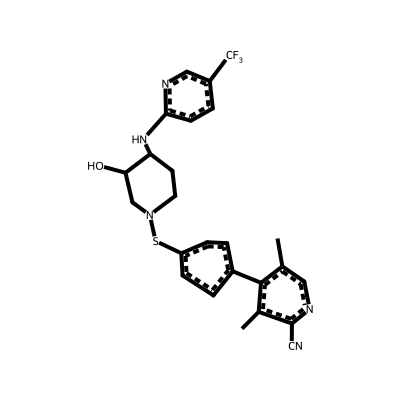 Cc1cnc(C#N)c(C)c1-c1ccc(SN2CCC(Nc3ccc(C(F)(F)F)cn3)C(O)C2)cc1